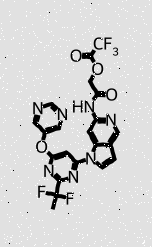 CC(F)(F)c1nc(Oc2cncnc2)cc(-n2ccc3cnc(NC(=O)COC(=O)C(F)(F)F)cc32)n1